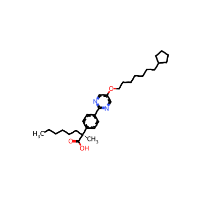 CCCCCC[C@](C)(C(=O)O)c1ccc(-c2ncc(OCCCCCCCC3CCCC3)cn2)cc1